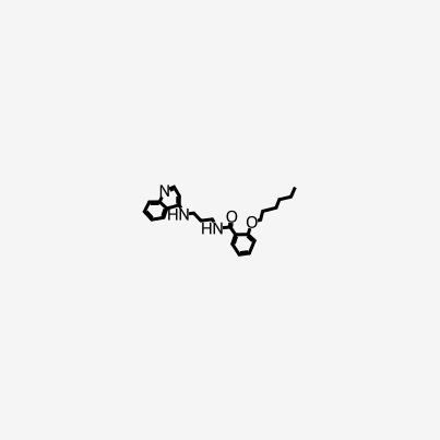 CCCCCCOc1ccccc1C(=O)NCCCNc1ccnc2ccccc12